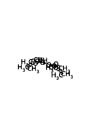 CC(C)C1CCC2=C(CCC3C(C)(C(=O)OCC(O)COCCCCOCC(O)COC(=O)C4(C)CCCC5(C)C6=C(CCC45)CC(C(C)C)CC6)CCCC23C)C1